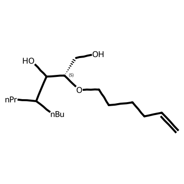 C=CCCCCO[C@@H](CO)C(O)C(CCC)CCCC